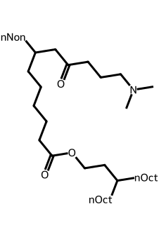 CCCCCCCCCC(CCCCCC(=O)OCCC(CCCCCCCC)CCCCCCCC)CC(=O)CCCN(C)C